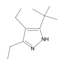 CCc1n[nH]c(C(C)(C)C)c1CC